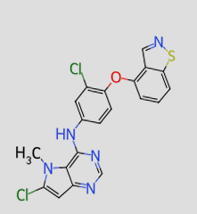 Cn1c(Cl)cc2ncnc(Nc3ccc(Oc4cccc5sncc45)c(Cl)c3)c21